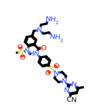 Cc1cc(C#N)nc(N2CCN(S(=O)(=O)c3ccc(NC(=O)c4cc(CN(CCN)CCN)ccc4N(C)S(C)(=O)=O)cc3)CC2)n1